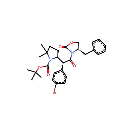 CC(C)(C)OC(=O)N1[C@H]([C@@H](C(=O)N2C(=O)OC[C@H]2Cc2ccccc2)c2ccc(Br)cc2)CCC1(C)C